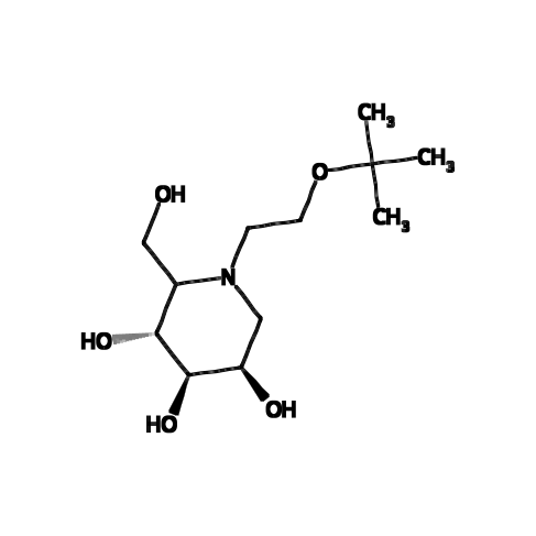 CC(C)(C)OCCN1C[C@@H](O)[C@@H](O)[C@H](O)C1CO